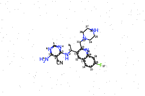 CC(Nc1ncnc(N)c1C#N)c1cc2ccc(F)cc2nc1CN1CCNCC1